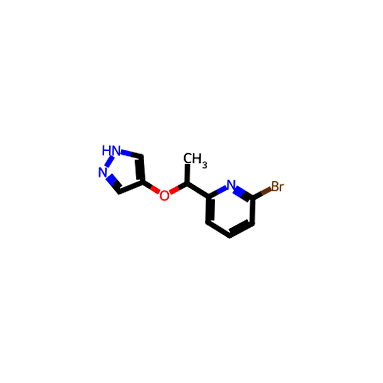 CC(Oc1cn[nH]c1)c1cccc(Br)n1